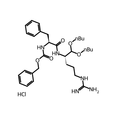 CCCCOC(OCCCC)[C@H](CCCNC(=N)N)NC(=O)[C@H](Cc1ccccc1)NC(=O)OCc1ccccc1.Cl